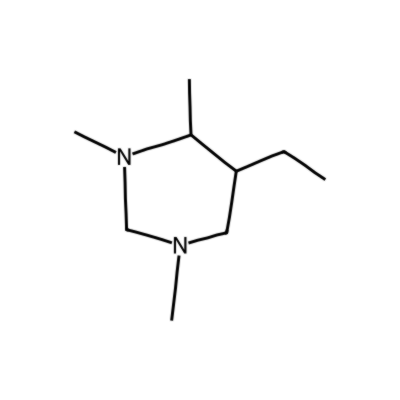 CCC1CN(C)CN(C)C1C